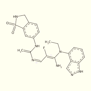 C=C(/N=C\C(F)=C(/N)N(CC)c1cccc2[nH]ncc12)Nc1ccc2c(c1)S(=O)(=O)NC2